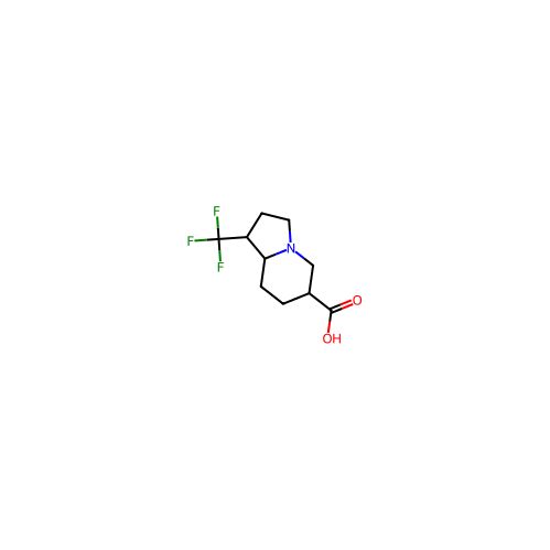 O=C(O)C1CCC2C(C(F)(F)F)CCN2C1